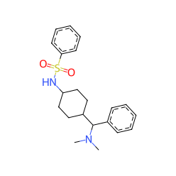 CN(C)C(c1ccccc1)C1CCC(NS(=O)(=O)c2ccccc2)CC1